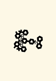 Cc1ccc2c3c1C(C)(C)c1ccccc1B3c1cc(-c3ccc(-n4c5ccccc5c5ccccc54)cc3)cc3c1N2c1ccc(C)c2c1B3c1ccccc1C2(C)C